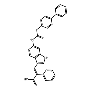 O=C(Cc1ccc(-c2ccccc2)cc1)Nc1ccc2c(/C=C(/C(=O)O)c3ccccc3)c[nH]c2n1